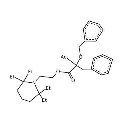 CCC1(CC)CCCC(CC)(CC)N1CCOC(=O)C(Cc1ccccc1)(OCc1ccccc1)C(C)=O